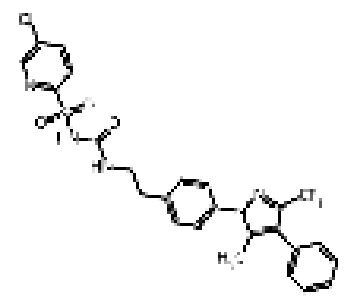 Cc1c(-c2ccccc2)c(C(F)(F)F)nn1-c1ccc(CCNC(=O)NS(=O)(=O)c2ccc(Cl)cn2)cc1